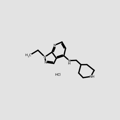 CCn1ncc2c(NCC3CCNCC3)ccnc21.Cl